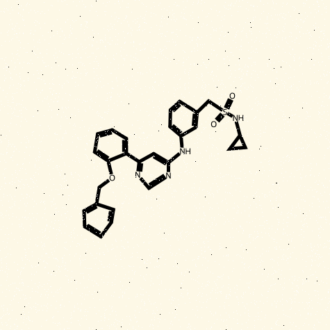 O=S(=O)(Cc1cccc(Nc2cc(-c3ccccc3OCc3ccccc3)ncn2)c1)NC1CC1